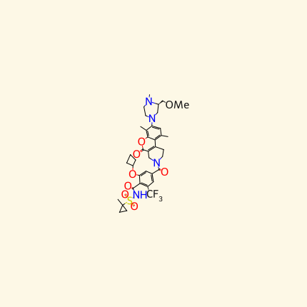 COC[C@H]1CN(c2cc(C)c3c4c(c(=O)oc3c2C)CN(C(=O)c2cc(OC3CCC3)c(C(=O)NS(=O)(=O)C3(C)CC3)c(C(F)(F)F)c2)CC4)CCN1C